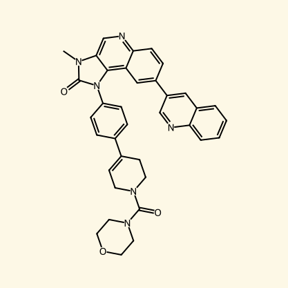 Cn1c(=O)n(-c2ccc(C3=CCN(C(=O)N4CCOCC4)CC3)cc2)c2c3cc(-c4cnc5ccccc5c4)ccc3ncc21